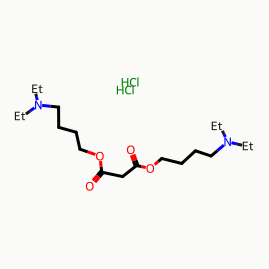 CCN(CC)CCCCOC(=O)CC(=O)OCCCCN(CC)CC.Cl.Cl